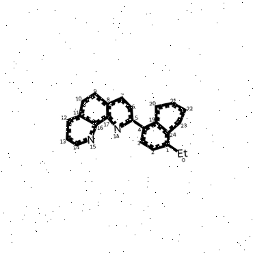 CCc1ccc(-c2ccc3ccc4cccnc4c3n2)c2ccccc12